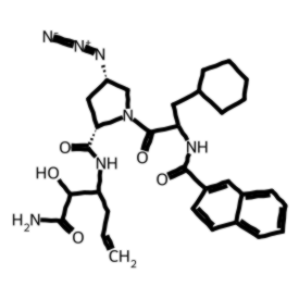 C=CCC(NC(=O)[C@@H]1C[C@H](N=[N+]=[N-])CN1C(=O)C(CC1CCCCC1)NC(=O)c1ccc2ccccc2c1)C(O)C(N)=O